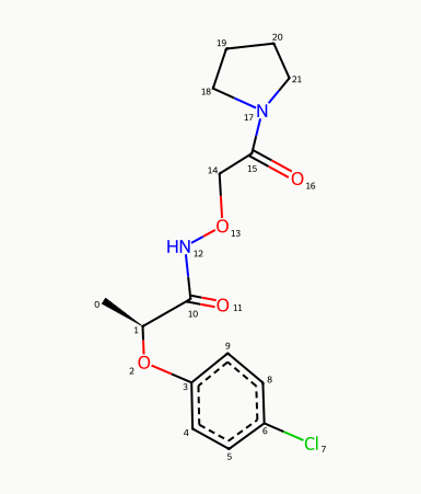 C[C@H](Oc1ccc(Cl)cc1)C(=O)NOCC(=O)N1CCCC1